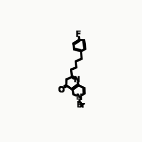 O=C1CC(CCCCc2ccc(F)cc2)=NC2=C1CN(Br)C=C2